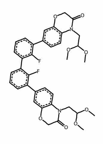 COC(CN1C(=O)COc2cc(-c3cccc(-c4cccc(-c5ccc6c(c5)OCC(=O)N6CC(OC)OC)c4F)c3F)ccc21)OC